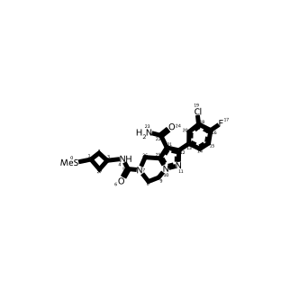 CSC1CC(NC(=O)N2CCn3nc(-c4ccc(F)c(Cl)c4)c(C(N)=O)c3C2)C1